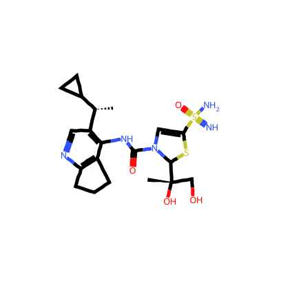 C[C@H](c1cnc2c(c1NC(=O)N1C=C(S(=N)(N)=O)SC1[C@@](C)(O)CO)CCC2)C1CC1